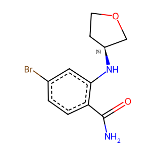 NC(=O)c1ccc(Br)cc1N[C@H]1CCOC1